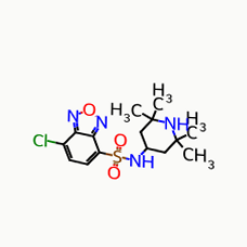 CC1(C)CC(NS(=O)(=O)c2ccc(Cl)c3nonc23)CC(C)(C)N1